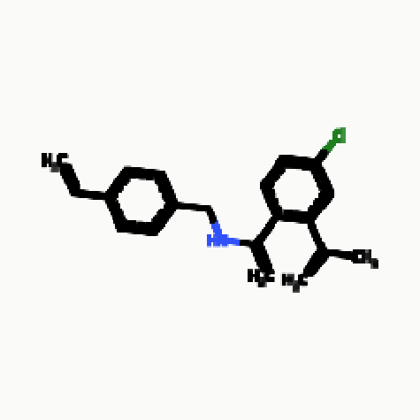 C=Cc1ccc(CNC(=C)c2ccc(Cl)cc2C(=C)C)cc1